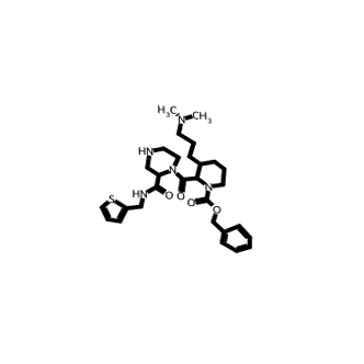 CN(C)CCCC1CCCN(C(=O)OCc2ccccc2)C1C(=O)N1CCNCC1C(=O)NCc1cccs1